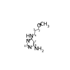 COCCCNc1cc(N)ncn1